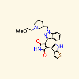 COCCN1CCCC(Cn2nc(C3=C(c4c[nH]c5sccc45)C(=O)NC3=O)c3ccccc32)C1